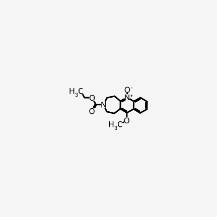 CCOC(=O)N1CCc2c(OC)c3ccccc3[n+]([O-])c2CC1